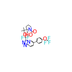 CC(C)(C)[C@]1(COC(F)(F)c2nnc3ccc(-c4ccc(OC(F)(F)F)cc4)cn23)CCCN1C(=O)O